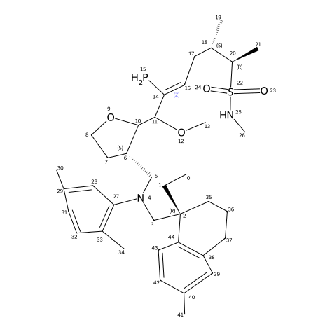 CC[C@@]1(CN(C[C@@H]2CCOC2C(OC)/C(P)=C/C[C@H](C)[C@@H](C)S(=O)(=O)NC)c2cc(C)ccc2C)CCCc2cc(C)ccc21